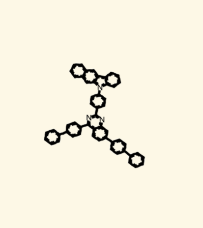 c1ccc(-c2ccc(-c3ccc4c(-c5ccc(-c6ccccc6)cc5)nc(-c5ccc(-n6c7ccccc7c7cc8ccccc8cc76)cc5)nc4c3)cc2)cc1